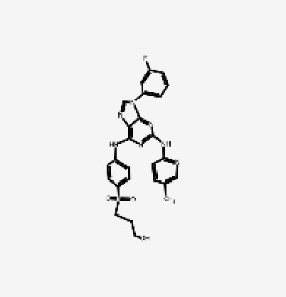 Cc1ccc(Nc2nc(Nc3ccc(S(=O)(=O)CCCO)cc3)c3ncn(-c4cccc(F)c4)c3n2)nc1